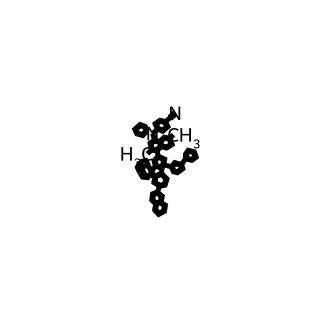 Cc1ccc2c(-c3cc(-c4cccc(-c5ccccc5)c4)c4c(c3)C3(c5cc(-c6ccc7ccccc7c6)ccc5-4)C4CC5CC(C4)CC3C5)c(C)cc(N(c3ccccc3)c3ccc(C#N)cc3)c2c1